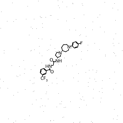 O=C(CNC(=O)c1cccc(C(F)(F)F)c1)N[C@@H]1CCN([C@@H]2CCCN(c3ccc(F)cc3)CC2)C1